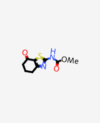 COC(=O)Nc1nc2c(s1)C(=O)CCC2